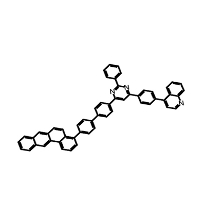 c1ccc(-c2nc(-c3ccc(-c4ccc(-c5cccc6c5ccc5cc7ccccc7cc56)cc4)cc3)cc(-c3ccc(-c4ccnc5ccccc45)cc3)n2)cc1